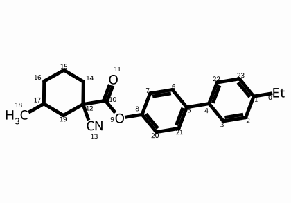 CCc1ccc(-c2ccc(OC(=O)C3(C#N)CCCC(C)C3)cc2)cc1